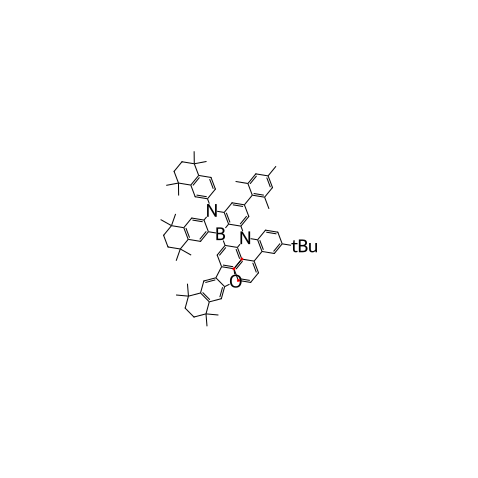 Cc1cc(C)c(-c2cc3c4c(c2)N(c2ccc(C(C)(C)C)cc2-c2ccccc2)c2cc5oc6cc7c(cc6c5cc2B4c2cc4c(cc2N3c2ccc3c(c2)C(C)(C)CCC3(C)C)C(C)(C)CCC4(C)C)C(C)(C)CCC7(C)C)c(C)c1